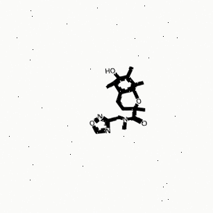 Cc1c(C)c2c(c(C)c1O)CCC(C)(C(=O)N(C)Cc1ncon1)O2